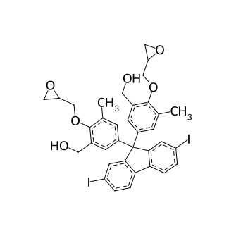 Cc1cc(C2(c3cc(C)c(OCC4CO4)c(CO)c3)c3cc(I)ccc3-c3ccc(I)cc32)cc(CO)c1OCC1CO1